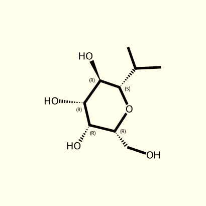 CC(C)[C@@H]1O[C@H](CO)[C@H](O)[C@H](O)[C@H]1O